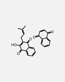 CC(C)=CCC1=C(O)C(=O)c2ccccc2C1=O.O=C1C=CC(=O)c2ccccc21